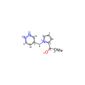 COC(=O)c1cccn1Cc1ccnnc1